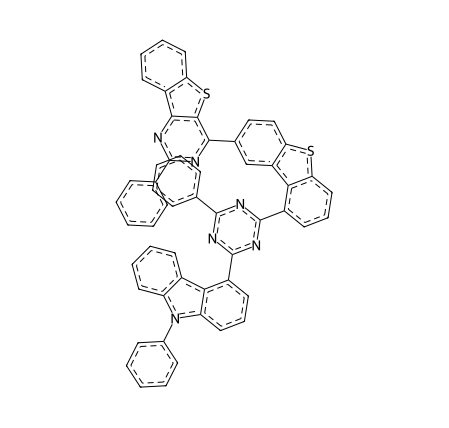 c1ccc(-c2nc(-c3cccc4sc5ccc(-c6nc(-c7ccccc7)nc7c6sc6ccccc67)cc5c34)nc(-c3cccc4c3c3ccccc3n4-c3ccccc3)n2)cc1